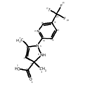 CC1=CC(C)(C(=O)O)NN1c1ccc(C(F)(F)F)cn1